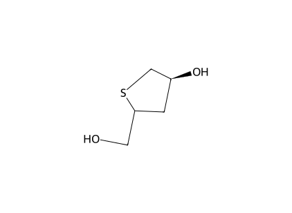 OCC1C[C@H](O)CS1